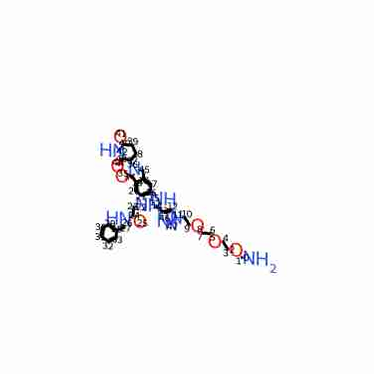 NCOCCOCCOCCn1cc(CNc2cc3c(cc2NCC(=O)NCc2ccccc2)C(=O)N(C2CCC(=O)NC2=O)C3)nn1